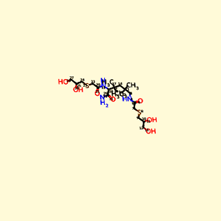 CC(C)(CNC(=O)CSCC(O)CO)CC(C)(C)C(NC(=O)CSCC(O)CO)C(N)=O